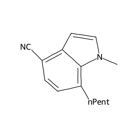 CCCCCc1ccc(C#N)c2ccn(C)c12